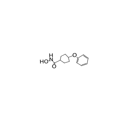 O=C(NO)C1CCC(Oc2ccccc2)CC1